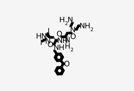 NCCN(CCN)C(=O)C[C@H](N)C(=O)N[C@@H](Cc1nc(I)[nH]c1I)C(=O)NCc1ccc(C(=O)c2ccccc2)cc1